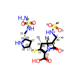 C[C@@H](NS(C)(=O)=O)[C@H]1C(=O)N2C(C(=O)O)=C(S[C@@H]3CN[C@H](CNS(N)(=O)=O)C3)[C@H](C)[C@H]12